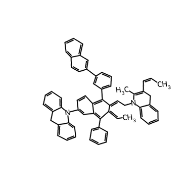 C/C=C\C1=C(C)N(C/C=c2/c(-c3cccc(-c4ccc5ccccc5c4)c3)c3ccc(N4c5ccccc5Cc5ccccc54)cc3c(-c3ccccc3)/c2=C/C)c2ccccc2C1